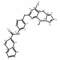 CNc1nc(Cc2ccc(NC(=O)c3ccc4ccccc4c3)cc2)nc(Cl)c1Cc1nnn[nH]1